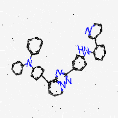 c1ccc(N(c2ccccc2)c2ccc(-c3cccn4nc(-c5ccc(Nc6ccccc6-c6cccnc6)cc5)nc34)cc2)cc1